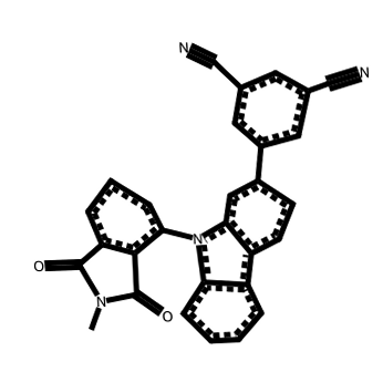 CN1C(=O)c2cccc(-n3c4ccccc4c4ccc(-c5cc(C#N)cc(C#N)c5)cc43)c2C1=O